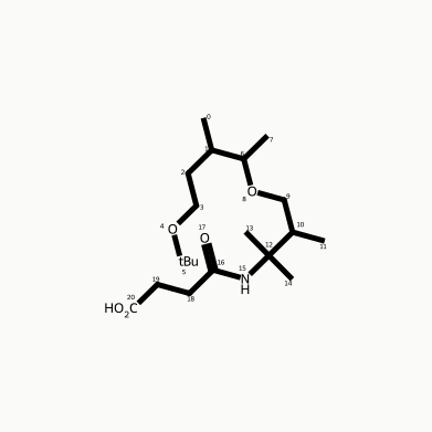 CC(CCOC(C)(C)C)C(C)OCC(C)C(C)(C)NC(=O)CCC(=O)O